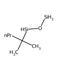 CCCC(C)(C)[SiH]O[SiH3]